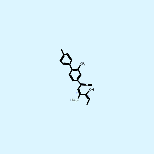 C=C=C(/C=C(C(=O)O)\C(O)=C/C)c1ccc(-c2ccc(C)cc2)c(C(F)(F)F)c1